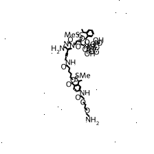 CSSC(C)c1cc(NC(=O)COCCOCCN)ccc1C(=O)OCCCCC(=O)NCC#Cc1cn([C@H]2C[C@@H](OC(=O)c3ccccc3C(C)SSC)C(COP(=O)(O)OP(=O)(O)OP(=O)(O)O)O2)c(=O)nc1N